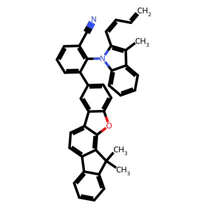 C=C/C=C\c1c(C)c2ccccc2n1-c1c(C#N)cccc1-c1ccc2oc3c4c(ccc3c2c1)-c1ccccc1C4(C)C